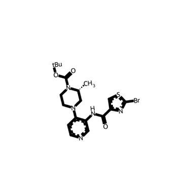 C[C@@H]1CN(c2ccncc2NC(=O)c2csc(Br)n2)CCN1C(=O)OC(C)(C)C